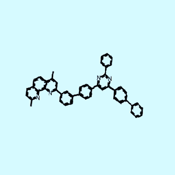 Cc1ccc2ccc3c(C)cc(-c4cccc(-c5ccc(-c6cc(-c7ccc(-c8ccccc8)cc7)nc(-c7ccccc7)n6)cc5)c4)nc3c2n1